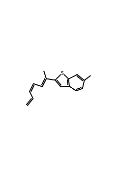 C=C/C=C\C=C(/C)c1cc2ccc(C)cc2s1